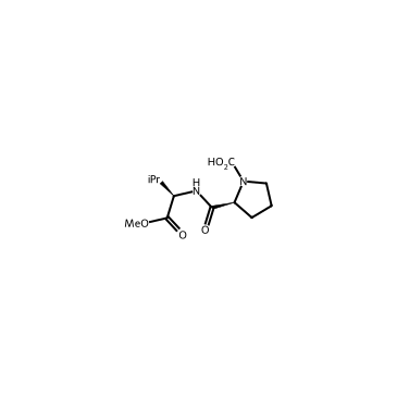 COC(=O)[C@H](NC(=O)[C@@H]1CCCN1C(=O)O)C(C)C